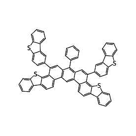 c1ccc(-c2c3cc(-c4ccc5sc6ccccc6c5c4)c4c(ccc5c6ccccc6sc54)c3cc3c2cc(-c2ccc4sc5ccccc5c4c2)c2c3ccc3c4ccccc4sc32)cc1